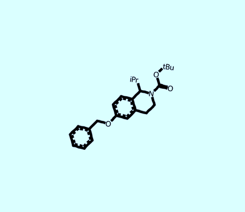 CC(C)C1c2ccc(OCc3ccccc3)cc2CCN1C(=O)OC(C)(C)C